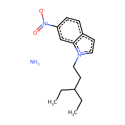 CCC(CC)CCn1ccc2ccc([N+](=O)[O-])cc21.N